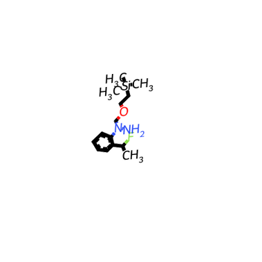 CC(F)c1ccccc1N(N)COCC[Si](C)(C)C